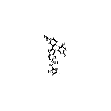 Cc1cc(-c2c(-c3cccc(C#N)c3)nn3ccc(NCc4ncc[nH]4)nc23)cc(Cl)n1